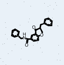 O=C(NCc1ccccc1)c1ccc2c(c1)C(=O)C(Cc1ccccc1)CO2